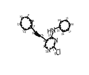 Clc1ncc(C#Cc2ccccc2)c(Nc2ccccc2)n1